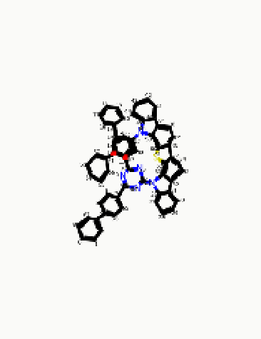 c1ccc(-c2ccc(-c3nc(-c4ccc(-c5ccccc5)cc4)nc(-n4c5ccccc5c5ccc6c7ccc8c9ccccc9n(-c9ccc(-c%10ccccc%10)cc9)c8c7sc6c54)n3)cc2)cc1